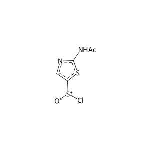 CC(=O)Nc1ncc([S+]([O-])Cl)s1